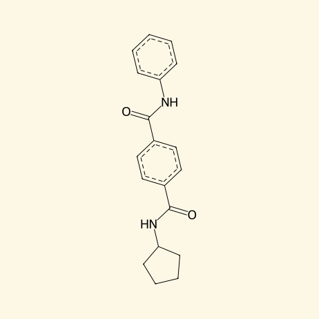 O=C(Nc1ccccc1)c1ccc(C(=O)NC2CCCC2)cc1